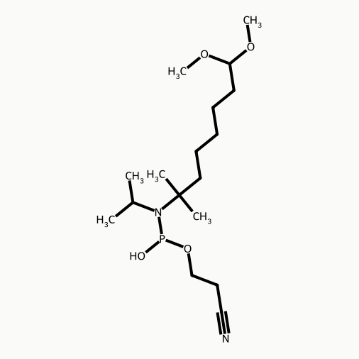 COC(CCCCCC(C)(C)N(C(C)C)P(O)OCCC#N)OC